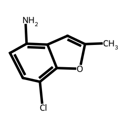 Cc1cc2c(N)ccc(Cl)c2o1